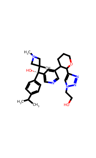 CC(C)c1ccc([C@](O)(c2cncc(C3CCCOC3c3cn(CCO)nn3)c2)C2(C)CN(C)C2)cc1